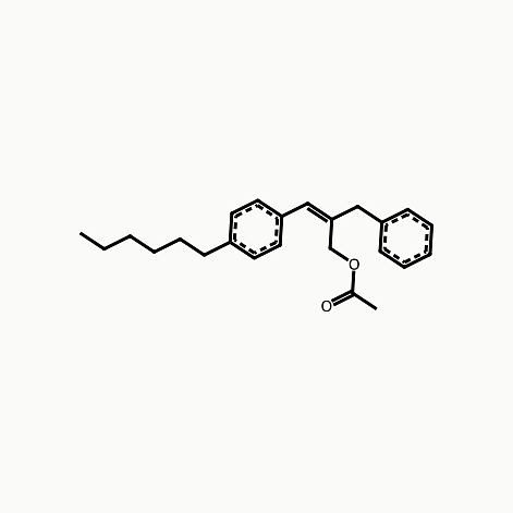 CCCCCCc1ccc(/C=C(\COC(C)=O)Cc2ccccc2)cc1